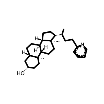 CC(CCc1ccccn1)[C@H]1CC[C@H]2[C@@H]3CC[C@H]4C[C@@H](O)CC[C@]4(C)[C@H]3CC[C@]12C